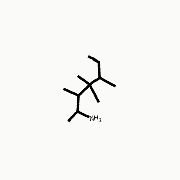 CCC(C)C(C)(C)C(C)C(C)N